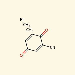 C.C.N#CC1=CC(=O)C=CC1=O.[Pt]